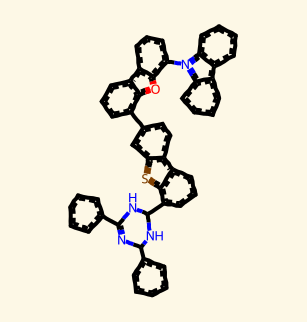 c1ccc(C2=NC(c3ccccc3)NC(c3cccc4c3sc3cc(-c5cccc6c5oc5c(-n7c8ccccc8c8ccccc87)cccc56)ccc34)N2)cc1